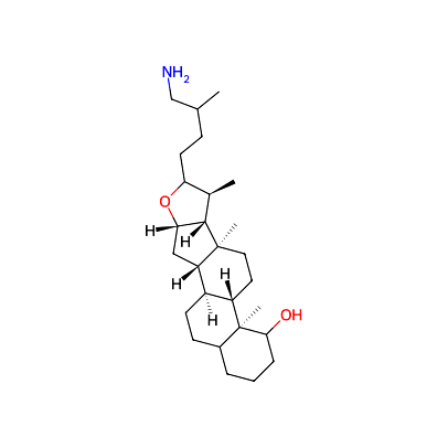 CC(CN)CCC1O[C@H]2C[C@H]3[C@@H]4CCC5CCCC(O)[C@]5(C)[C@H]4CC[C@]3(C)[C@H]2[C@@H]1C